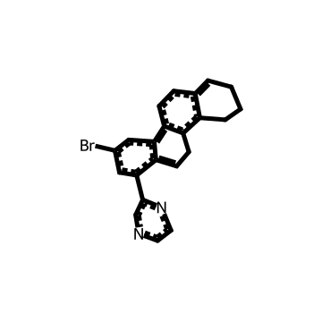 Brc1cc(-c2cnccn2)c2c(c1)=c1ccc3c(c1CC=2)CCCC=3